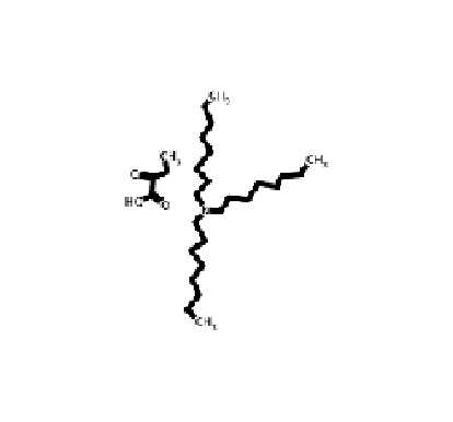 CCC(=O)C(=O)O.CCCCCCCCN(CCCCCCCC)CCCCCCCC